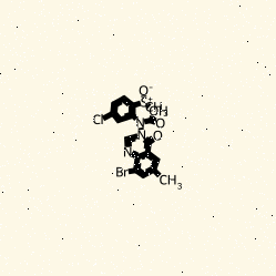 Cc1cc(Br)c2ncn(N(C(=O)O)c3cc(Cl)ccc3[S+](C)[O-])c(=O)c2c1